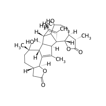 CC1=C(C)[C@@]23[C@@H]([C@@H]1[C@H]1[C@@H]2C(C)=C2[C@H]4OC(=O)C[C@@H]4CC[C@](C)(O)[C@@H]21)[C@@](C)(O)CC[C@H]1[C@H](C)C(=O)O[C@@H]13